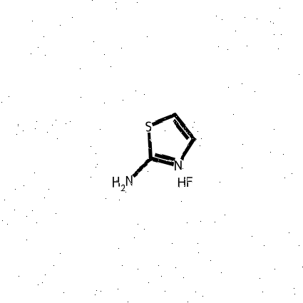 F.Nc1nccs1